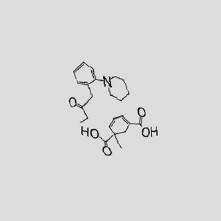 CC1(C(=O)O)C=CC=C(C(=O)O)C1.CCC(=O)Cc1ccccc1N1CCCCC1